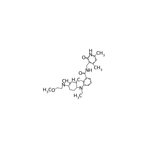 CCN(c1cccc(C(=O)NCc2c(C)cc(C)[nH]c2=O)c1C)C1CCC(N(C)CCOC)CC1